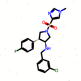 Cn1cnc(S(=O)(=O)N2C[C@@H](NCc3cccc(Cl)c3)[C@H](c3ccc(F)cc3)C2)c1